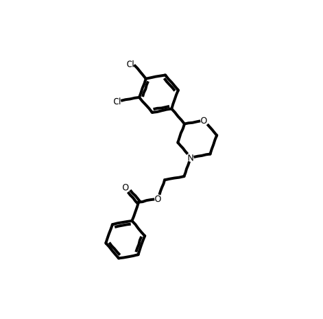 O=C(OCCN1CCOC(c2ccc(Cl)c(Cl)c2)C1)c1ccccc1